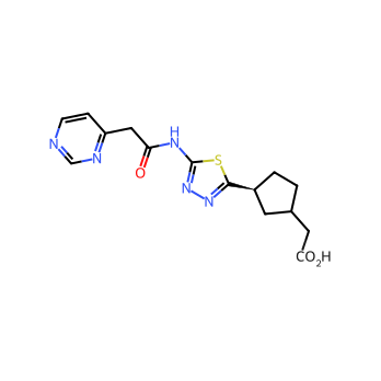 O=C(O)CC1CC[C@H](c2nnc(NC(=O)Cc3ccncn3)s2)C1